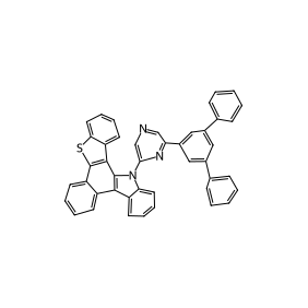 c1ccc(-c2cc(-c3ccccc3)cc(-c3cncc(-n4c5ccccc5c5c6ccccc6c6sc7ccccc7c6c54)n3)c2)cc1